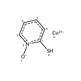 [Cu+2].[O-][n+]1ccccc1S